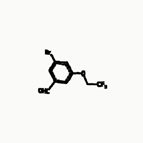 O=Cc1cc(Br)cc(OCC(F)(F)F)c1